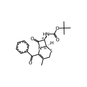 CC1=C(C(=O)c2ccccc2)N2C(=O)[C@@H](NC(=O)OC(C)(C)C)[C@H]2SC1